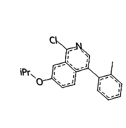 Cc1ccccc1-c1cnc(Cl)c2cc(OC(C)C)ccc12